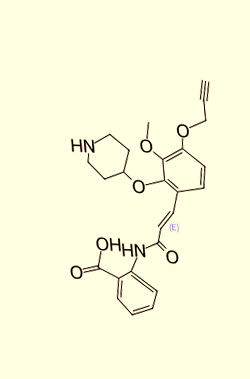 C#CCOc1ccc(/C=C/C(=O)Nc2ccccc2C(=O)O)c(OC2CCNCC2)c1OC